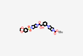 CC(C)(C)OC(=O)N1CC2CN(c3cccc(C(O)C(=O)N4CC5=C(C4)CN(S(=O)(=O)c4ccc6c(c4)OCCO6)C5)c3)CC2C1